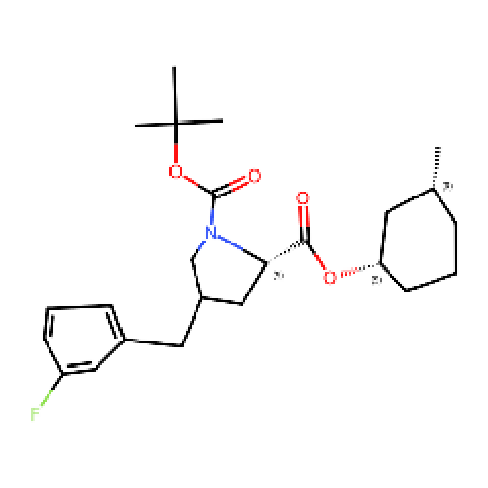 C[C@@H]1CCC[C@H](OC(=O)[C@@H]2CC(Cc3cccc(F)c3)CN2C(=O)OC(C)(C)C)C1